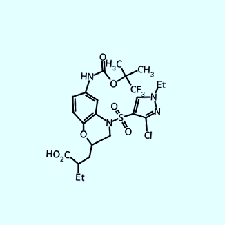 CCC(CC1CN(S(=O)(=O)c2cn(CC)nc2Cl)c2cc(NC(=O)OC(C)(C)C(F)(F)F)ccc2O1)C(=O)O